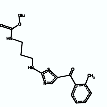 Cc1ccccc1C(=O)c1cnc(NCCCNC(=O)OC(C)(C)C)s1